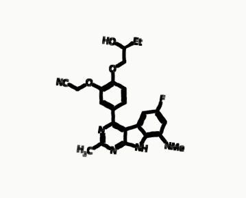 CC[C@H](O)COc1ccc(-c2nc(C)nc3[nH]c4c(NC)cc(F)cc4c23)cc1OCC#N